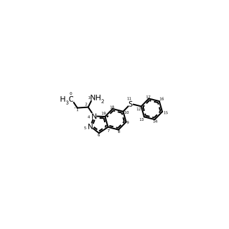 C[CH]C(N)n1ncc2ccc(Sc3ccccc3)cc21